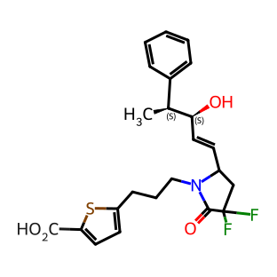 C[C@@H](c1ccccc1)[C@@H](O)C=CC1CC(F)(F)C(=O)N1CCCc1ccc(C(=O)O)s1